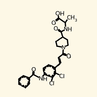 CC(NC(=O)C1CCN(C(=O)C=Cc2ccc(NC(=O)c3ccccc3)c(Cl)c2Cl)CC1)C(=O)O